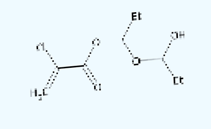 C=C(Cl)C(=O)OC(CC)OC(O)CC